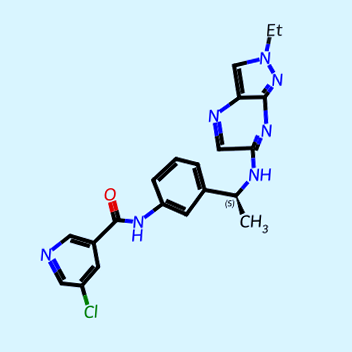 CCn1cc2ncc(N[C@@H](C)c3cccc(NC(=O)c4cncc(Cl)c4)c3)nc2n1